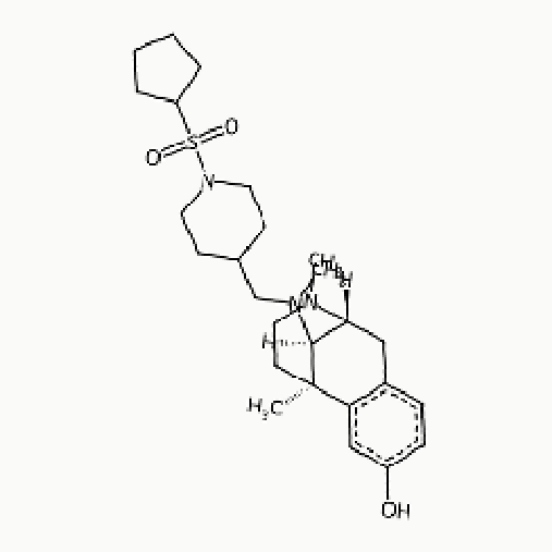 CN1CC[C@]2(C)c3cc(O)ccc3C[C@@H]1[C@@H]2N(C)CC1CCN(S(=O)(=O)C2CCCC2)CC1